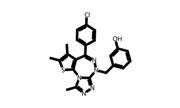 Cc1sc2c(c1C)C(c1ccc(Cl)cc1)=NN(Cc1cccc(O)c1)c1nnc(C)n1-2